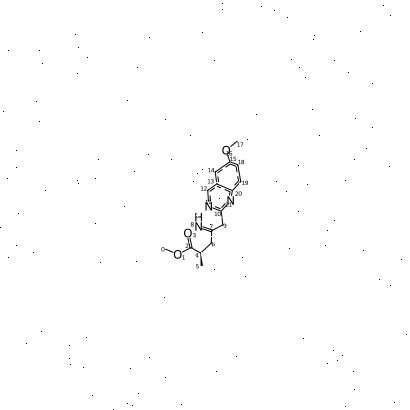 COC(=O)[C@H](C)CC(=N)Cc1ncc2cc(OC)ccc2n1